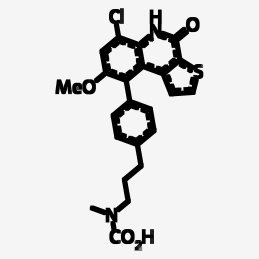 COc1cc(Cl)c2[nH]c(=O)c3sccc3c2c1-c1ccc(CCCN(C)C(=O)O)cc1